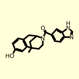 CC12CCN(C(=O)c3ccc4nc[nH]c4c3)C(Cc3ccc(O)cc31)C2